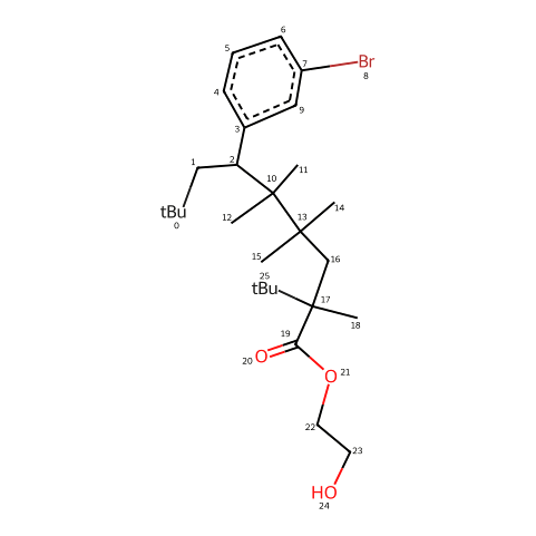 CC(C)(C)CC(c1cccc(Br)c1)C(C)(C)C(C)(C)CC(C)(C(=O)OCCO)C(C)(C)C